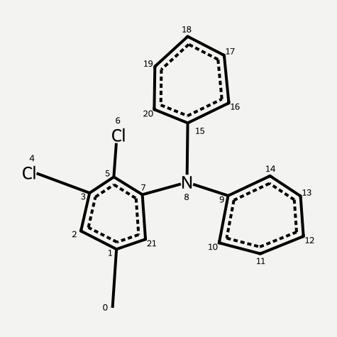 Cc1cc(Cl)c(Cl)c(N(c2ccccc2)c2ccccc2)c1